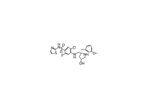 COc1cccc(C[C@@]2(CNc3cc(F)c(S(=O)(=O)Nc4nccs4)cc3Cl)C[C@H](O)CN2)c1